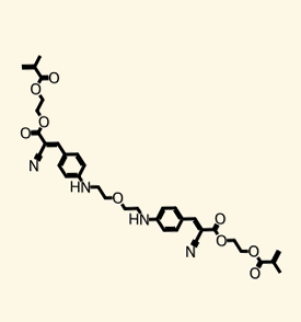 C=C(C)C(=O)OCCOC(=O)/C(C#N)=C/c1ccc(NCCOCCNc2ccc(/C=C(\C#N)C(=O)OCCOC(=O)C(=C)C)cc2)cc1